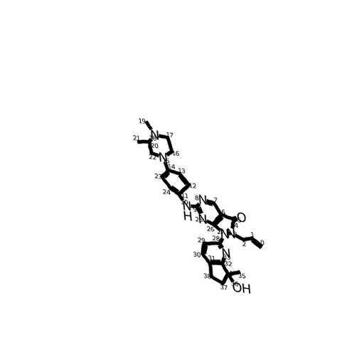 C=CCn1c(=O)c2cnc(Nc3ccc(N4CCN(C)C(C)C4)cc3)nc2n1-c1ccc2c(n1)C(C)(O)CC2